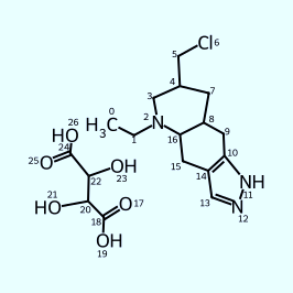 CCN1CC(CCl)CC2Cc3[nH]ncc3CC21.O=C(O)C(O)C(O)C(=O)O